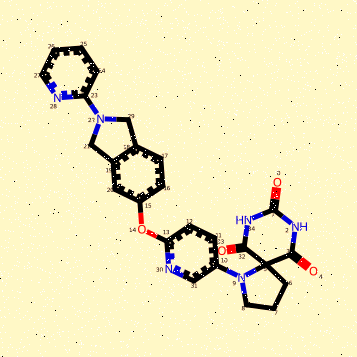 O=C1NC(=O)C2(CCCN2c2ccc(Oc3ccc4c(c3)CN(c3ccccn3)C4)nc2)C(=O)N1